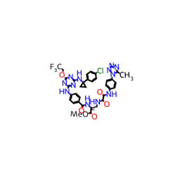 COC(=O)[C@H](CNC(=O)C(=O)Nc1ccc(-n2nnnc2C)cc1)NC(=O)c1ccc(Nc2nc(NC3(c4ccc(Cl)cc4)CC3)nc(OCC(F)(F)F)n2)cc1